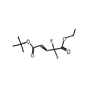 CCOC(=O)C(F)(F)/C=C/C(=O)OC(C)(C)C